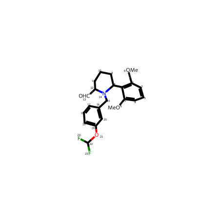 COc1cccc(OC)c1C1CCCC(C=O)N1Cc1cccc(OC(F)F)c1